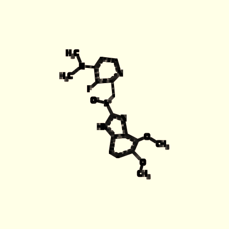 COc1ccc2[nH]c([S+]([O-])Cc3nccc(N(C)C)c3F)nc2c1OC